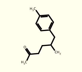 CC(=O)CCC(C)Cc1ccc(C)cc1